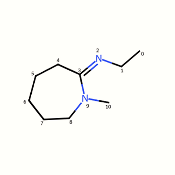 CC/N=C1/CCCCCN1C